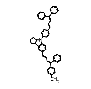 Cc1ccc(/C(=C/C=C/c2ccc3c(c2)C2CCCC2N3c2ccc(/C=C/C=C(c3ccccc3)c3ccccc3)cc2)c2ccccc2)cc1